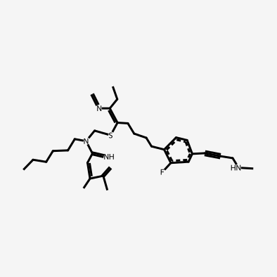 C=N/C(CC)=C(/CCCCc1ccc(C#CCNC)cc1F)SCN(CCCCCC)C(=N)/C=C(/C)C(=C)C